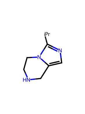 CC(C)c1ncc2n1CCNC2